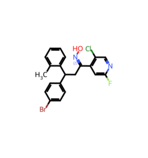 Cc1ccccc1C(C/C(=N/O)c1cc(F)ncc1Cl)c1ccc(Br)cc1